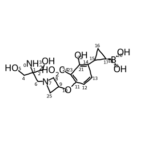 NC(CO)(CO)CN1CC(Oc2ccc(C3C[C@H]3B(O)O)c(O)c2C(=O)O)C1